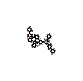 OC1(c2cccc(-c3ccccc3)c2)c2ccccc2-c2c(n(-c3ccc(-c4cc(-c5ccc(-c6ccccc6)cc5)nc(-c5ccccc5)n4)cc3)c3ccccc23)-c2ccccc21